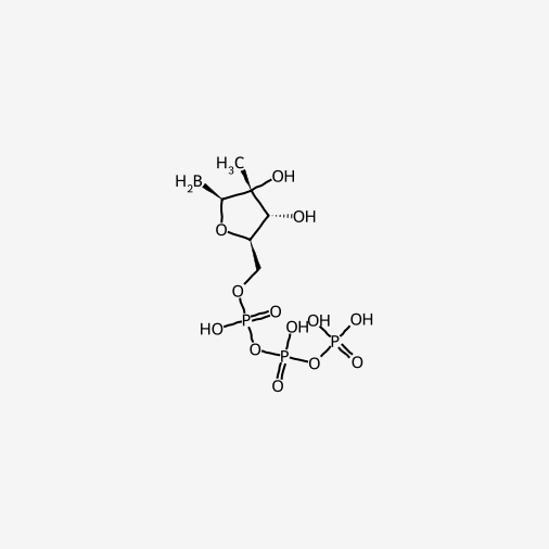 B[C@@H]1O[C@H](COP(=O)(O)OP(=O)(O)OP(=O)(O)O)[C@@H](O)[C@@]1(C)O